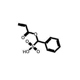 C=CC(=O)OC(c1ccccc1)S(=O)(=O)O